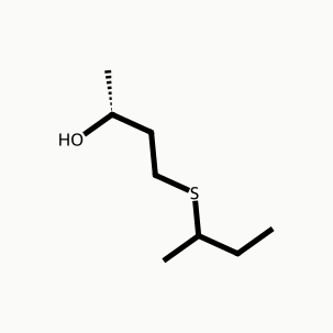 CCC(C)SCC[C@@H](C)O